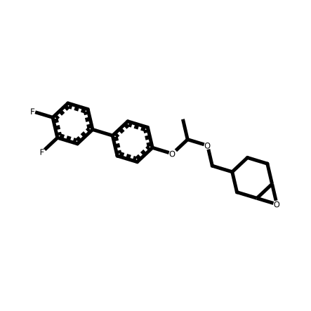 CC(OCC1CCC2OC2C1)Oc1ccc(-c2ccc(F)c(F)c2)cc1